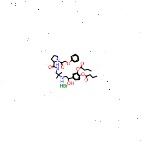 Br.CCCC(=O)Oc1ccc(C(O)CNC(C)(C)CNC(=O)C2CCCN2C(=O)COc2ccccc2)cc1OC(=O)CCC